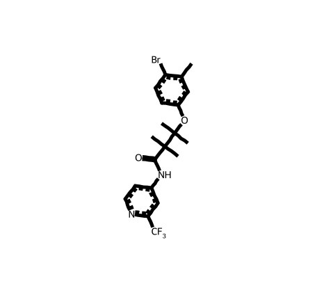 Cc1cc(OC(C)(C)C(C)(C)C(=O)Nc2ccnc(C(F)(F)F)c2)ccc1Br